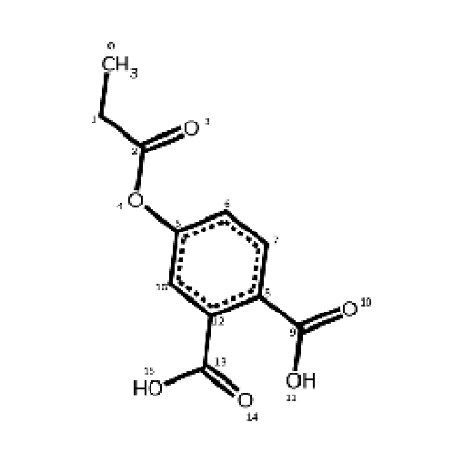 CCC(=O)Oc1ccc(C(=O)O)c(C(=O)O)c1